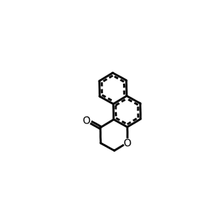 O=C1CCOc2ccc3ccccc3c21